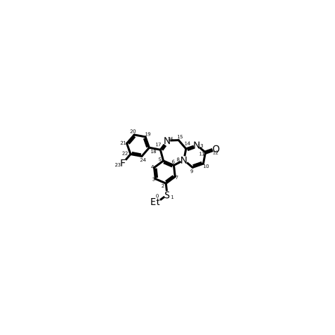 CCSc1ccc2c(c1)-n1ccc(=O)nc1CN=C2c1cccc(F)c1